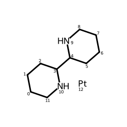 C1CCC(C2CCCCN2)NC1.[Pt]